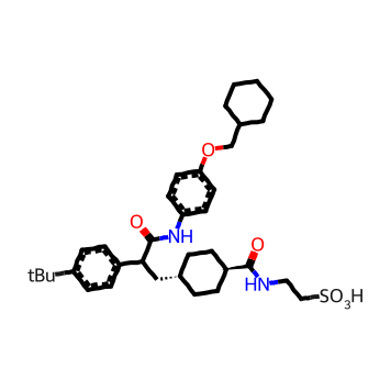 CC(C)(C)c1ccc(C(C[C@H]2CC[C@H](C(=O)NCCS(=O)(=O)O)CC2)C(=O)Nc2ccc(OCC3CCCCC3)cc2)cc1